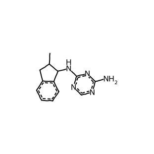 CC1Cc2ccccc2C1Nc1ncnc(N)n1